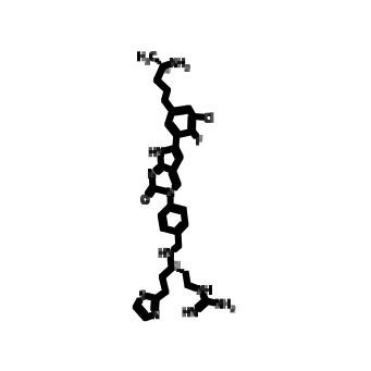 C[C@H](N)CCCc1cc(Cl)c(F)c(-c2cc3cn(-c4ccc(CN[C@H](CCNC(=N)N)CCc5nccs5)cc4)c(=O)nc3[nH]2)c1